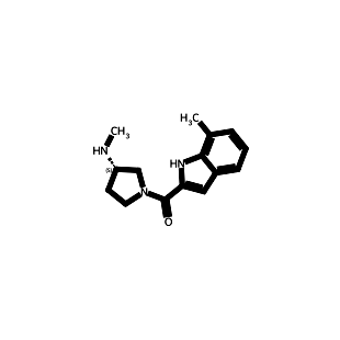 CN[C@H]1CCN(C(=O)c2cc3cccc(C)c3[nH]2)C1